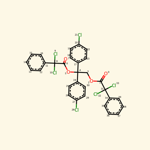 O=C(OCC(OC(=O)C(Cl)(Cl)c1ccccc1)(c1ccc(Cl)cc1)c1ccc(Cl)cc1)C(Cl)(Cl)c1ccccc1